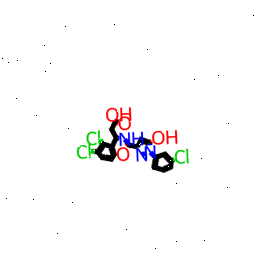 O=C(O)CC(NC(=O)c1cc(O)n(-c2cccc(Cl)c2)n1)c1cccc(Cl)c1Cl